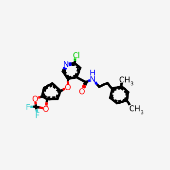 Cc1ccc(CCNC(=O)c2cc(Cl)ncc2Oc2ccc3c(c2)OC(F)(F)O3)c(C)c1